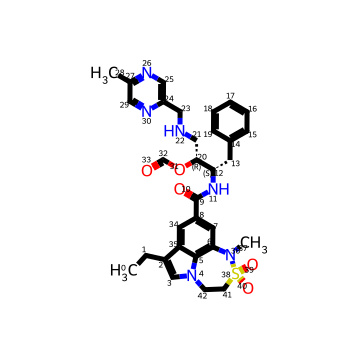 CCc1cn2c3c(cc(C(=O)N[C@@H](Cc4ccccc4)[C@@H](CNCc4cnc(C)cn4)OC=O)cc13)N(C)S(=O)(=O)CC2